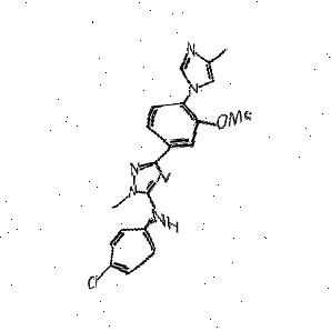 COc1cc(-c2nc(Nc3ccc(Cl)cc3)n(C)n2)ccc1-n1cnc(C)c1